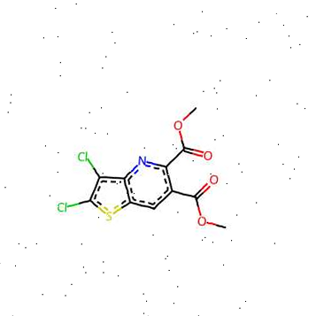 COC(=O)c1cc2sc(Cl)c(Cl)c2nc1C(=O)OC